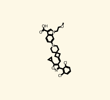 COCCn1cc(C(=O)O)c2ccc(N3CCC4(CC3)CC(=Cc3c(-c5c(Cl)cccc5Cl)noc3C3CC3)C4)cc21